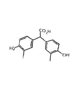 Cc1cc(C(C(=O)O)c2ccc(O)c(C)c2)ccc1O